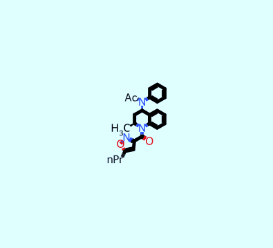 CCCc1cc(C(=O)N2c3ccccc3[C@H](N(C(C)=O)c3ccccc3)C[C@@H]2C)no1